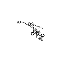 CCCCCc1ccc(OC(CCCC)CCCN(C(N)=O)c2ccccc2NNC(=O)Cc2ccccc2[N+](=O)[O-])c(Cl)c1